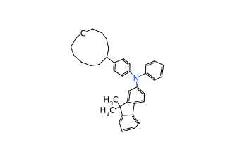 CC1(C)c2ccccc2-c2ccc(N(c3ccccc3)c3ccc(C4CCCCCCCCCCC4)cc3)cc21